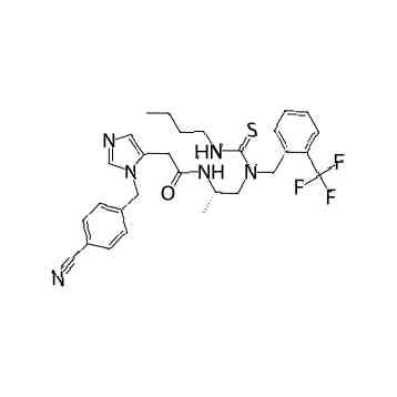 CCCCNC(=S)N(Cc1ccccc1C(F)(F)F)C[C@H](C)NC(=O)Cc1cncn1Cc1ccc(C#N)cc1